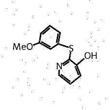 COc1cccc(Sc2ncccc2O)c1